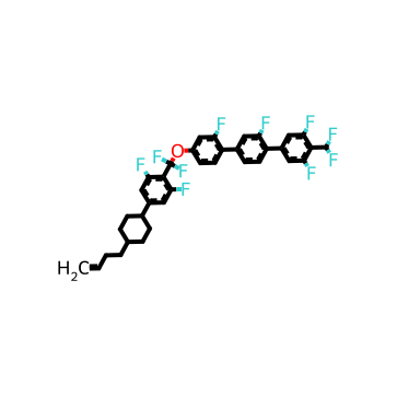 C=CCCC1CCC(c2cc(F)c(C(F)(F)Oc3ccc(-c4ccc(-c5cc(F)c(C(F)F)c(F)c5)c(F)c4)c(F)c3)c(F)c2)CC1